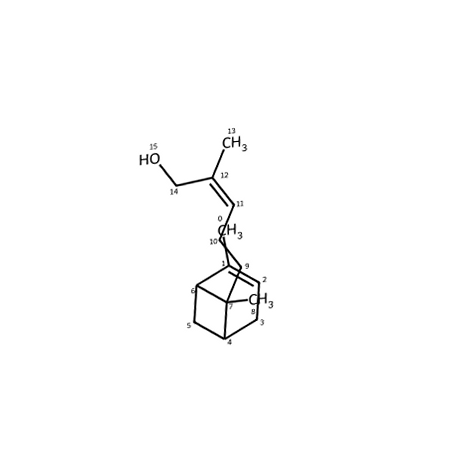 CC1=CCC2CC1C2(C)CC/C=C(/C)CO